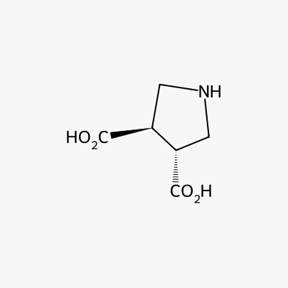 O=C(O)[C@H]1CNC[C@@H]1C(=O)O